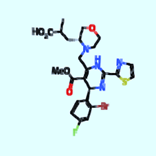 COC(=O)C1=C(CN2CCOC[C@H]2CC(C)C(=O)O)NC(c2nccs2)=N[C@H]1c1ccc(F)cc1Br